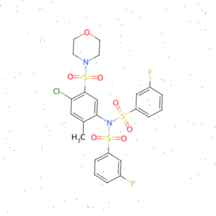 Cc1cc(Cl)c(S(=O)(=O)N2CCOCC2)cc1N(S(=O)(=O)c1cccc(F)c1)S(=O)(=O)c1cccc(F)c1